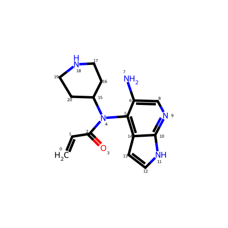 C=CC(=O)N(c1c(N)cnc2[nH]ccc12)C1CCNCC1